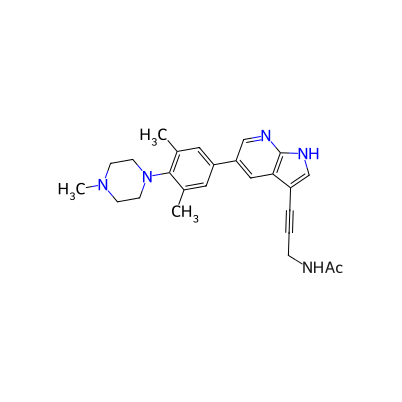 CC(=O)NCC#Cc1c[nH]c2ncc(-c3cc(C)c(N4CCN(C)CC4)c(C)c3)cc12